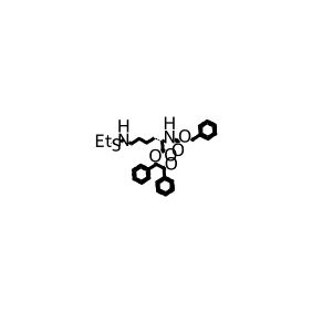 CCSNCCCC[C@H](NC(=O)OCc1ccccc1)C(=O)OC(C(=O)c1ccccc1)c1ccccc1